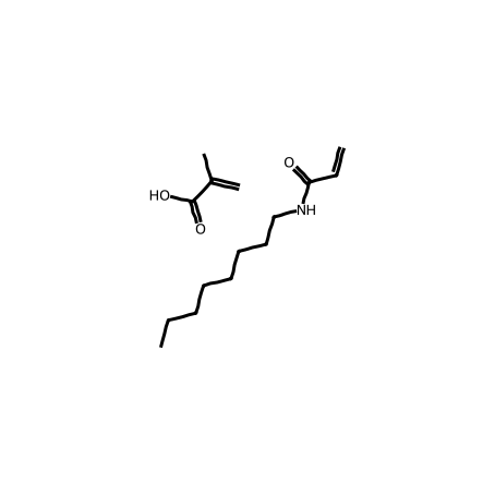 C=C(C)C(=O)O.C=CC(=O)NCCCCCCCC